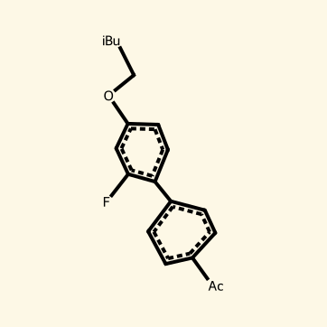 CCC(C)COc1ccc(-c2ccc(C(C)=O)cc2)c(F)c1